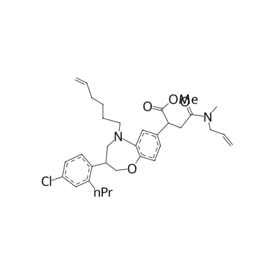 C=CCCCCN1CC(c2ccc(Cl)cc2CCC)COc2ccc(C(CC(=O)N(C)CC=C)C(=O)OC)cc21